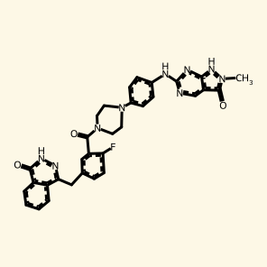 Cn1[nH]c2nc(Nc3ccc(N4CCN(C(=O)c5cc(Cc6n[nH]c(=O)c7ccccc67)ccc5F)CC4)cc3)ncc2c1=O